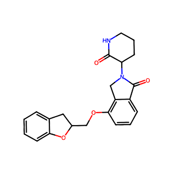 O=C1NCCCC1N1Cc2c(OCC3Cc4ccccc4O3)cccc2C1=O